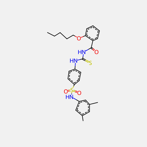 CCCCCOc1ccccc1C(=O)NC(=S)Nc1ccc(S(=O)(=O)Nc2cc(C)cc(C)c2)cc1